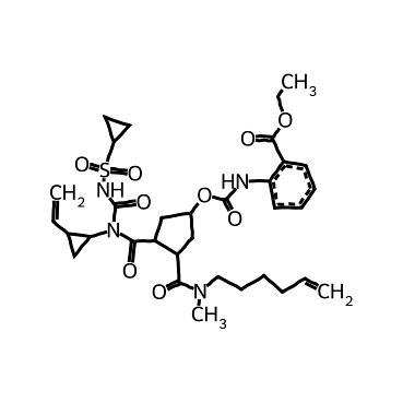 C=CCCCCN(C)C(=O)C1CC(OC(=O)Nc2ccccc2C(=O)OCC)CC1C(=O)N(C(=O)NS(=O)(=O)C1CC1)C1CC1C=C